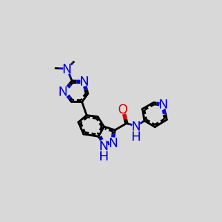 CN(C)c1ncc(-c2ccc3[nH]nc(C(=O)Nc4ccncc4)c3c2)cn1